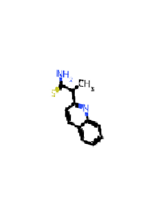 CC(C(N)=S)c1ccc2ccccc2n1